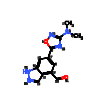 CN(C)c1noc(-c2cc(C=O)c3cn[nH]c3c2)n1